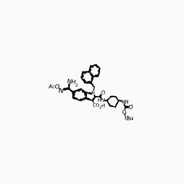 CC(=O)ON=C(N)c1ccc2c(C(=O)O)c(C(=O)NC3CCC(NC(=O)OC(C)(C)C)CC3)n(Cc3cccc4ccccc34)c2c1